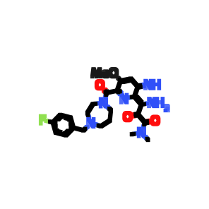 COC1=CC(=N)/C(=C(\N)C(=O)C(=O)N(C)C)N=C1C(=O)N1CCCN(Cc2ccc(F)cc2)CC1